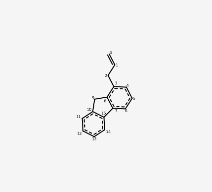 C=CCc1cccc2c1Cc1ccccc1-2